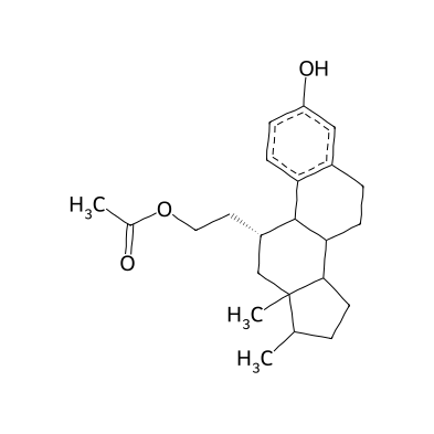 CC(=O)OCC[C@H]1CC2(C)C(C)CCC2C2CCc3cc(O)ccc3C21